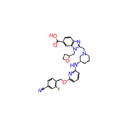 N#Cc1ccc(COc2cccc(NC3CCCN(Cc4nc5ccc(C(=O)O)cc5n4CC4CCO4)C3)n2)c(F)c1